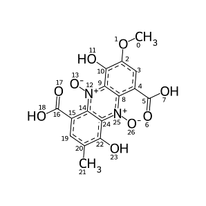 COc1cc(C(=O)O)c2c(c1O)[n+]([O-])c1c(C(=O)O)cc(C)c(O)c1[n+]2[O-]